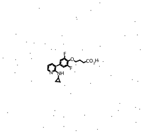 O=C(O)CCCOc1c(F)cc(-c2cccnc2NC2CC2)cc1F